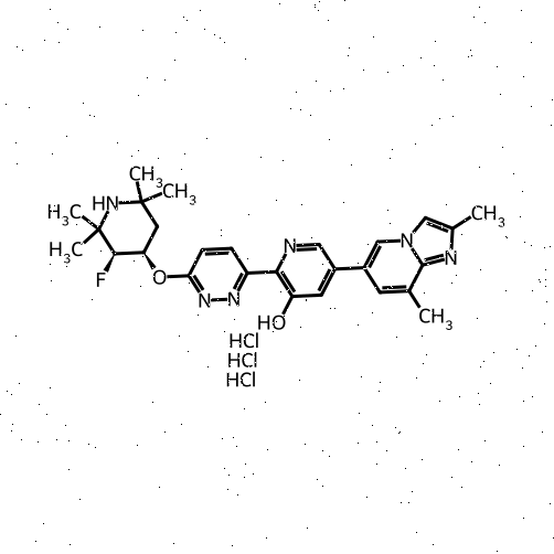 Cc1cn2cc(-c3cnc(-c4ccc(O[C@@H]5CC(C)(C)NC(C)(C)[C@@H]5F)nn4)c(O)c3)cc(C)c2n1.Cl.Cl.Cl